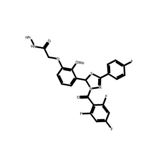 CCCNC(=O)COc1cccc(C2SC(c3ccc(F)cc3)=NN2C(=O)c2c(F)cc(F)cc2F)c1OC